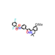 COc1ccc2c(c1)/C(=C/C(=O)c1cccc(NS(=O)(=O)c3cc(F)ccc3F)c1)NC(C)(C)C2